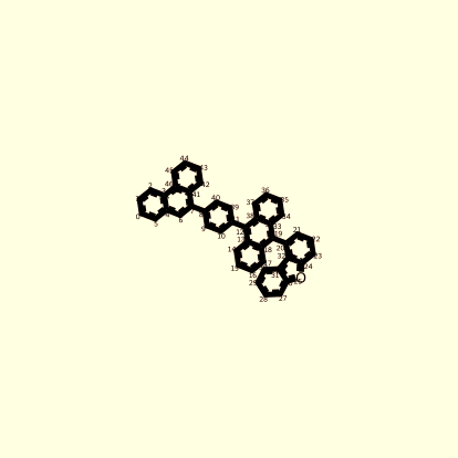 c1ccc2c(c1)cc(-c1ccc(-c3c4ccccc4c(-c4cccc5oc6ccccc6c45)c4ccccc34)cc1)c1ccccc12